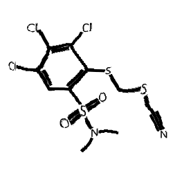 CN(C)S(=O)(=O)c1cc(Cl)c(Cl)c(Cl)c1SCSC#N